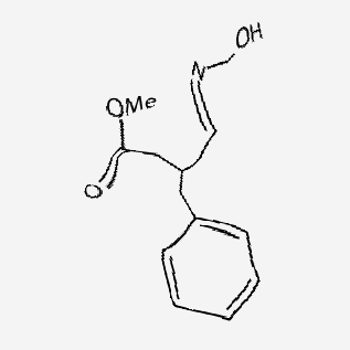 COC(=O)C(C=NO)c1ccccc1